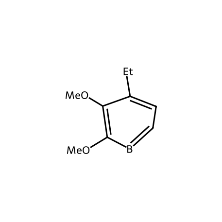 CCc1ccbc(OC)c1OC